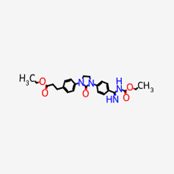 CCOC(=O)CCc1ccc(N2CCN(c3ccc(C(=N)NC(=O)OCC)cc3)C2=O)cc1